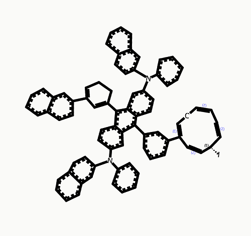 I[C@H]1/C=C\C=C/C/C=C(c2cccc(-c3c4ccc(N(c5ccccc5)c5ccc6ccccc6c5)cc4c(C4=CC(c5ccc6ccccc6c5)=CCC4)c4ccc(N(c5ccccc5)c5ccc6ccccc6c5)cc34)c2)\C=C/1